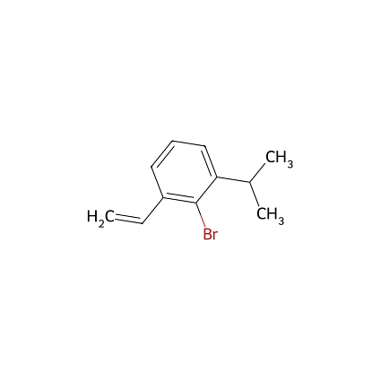 C=Cc1cccc(C(C)C)c1Br